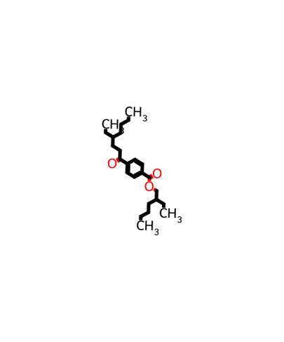 CCCCC(CC)CCC(=O)c1ccc(C(=O)OCC(CC)CCCC)cc1